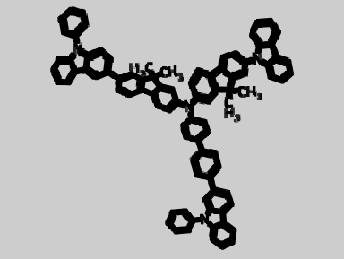 CC1(C)c2cc(-c3ccc4c(c3)c3ccccc3n4-c3ccccc3)ccc2-c2ccc(N(c3ccc(-c4ccc(-c5ccc6c7ccccc7n(-c7ccccc7)c6c5)cc4)cc3)c3ccc4c(c3)C(C)(C)c3cc(-n5c6ccccc6c6ccccc65)ccc3-4)cc21